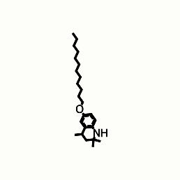 CCCCCCCCCCCCOc1ccc2c(c1)C(C)CC(C)(C)N2